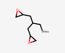 CCCCCCCC(CC1CO1)CC1CO1